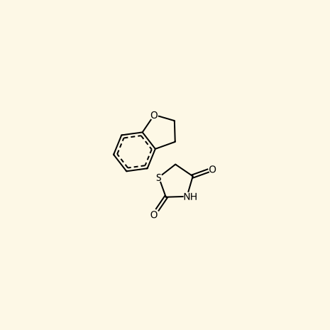 O=C1CSC(=O)N1.c1ccc2c(c1)CCO2